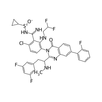 CNC(Cc1cc(F)cc(F)c1)c1nc2cc(-c3ccccc3F)ccc2c(=O)n1-c1ccc(Cl)c(C(=N)N[S+]([O-])C2CC2)c1NCC(F)F